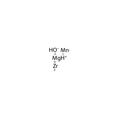 [MgH+].[Mn].[OH-].[Zr]